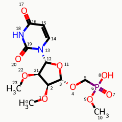 CO[C@@H]1[C@@H](OCP(=O)(O)OC)O[C@@H](n2ccc(=O)[nH]c2=O)[C@@H]1OC